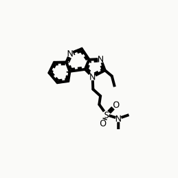 CCc1nc2cnc3ccccc3c2n1CCCS(=O)(=O)N(C)C